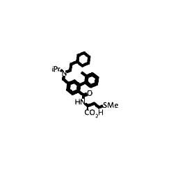 CSCC[C@H](NC(=O)c1ccc(CN(CCC2CCCCC2)C(C)C)cc1-c1ccccc1C)C(=O)O